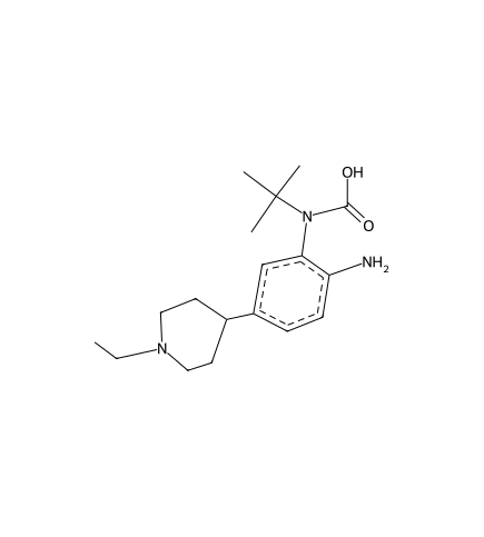 CCN1CCC(c2ccc(N)c(N(C(=O)O)C(C)(C)C)c2)CC1